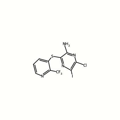 Nc1nc(Cl)c(I)nc1Sc1cccnc1C(F)(F)F